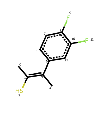 C/C(S)=C(/C)c1ccc(F)c(F)c1